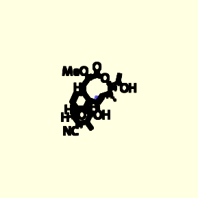 CO[C@H]1C[C@H]2C=C[C@H]3[C@H]4O[C@]2(/C(C)=C/[C@@H](C)[C@@H](C(C)O)OC1=O)[C@@H]3[C@H](O)C(C)[C@H]4C#N